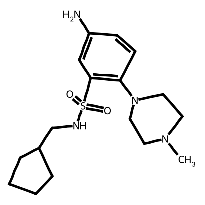 CN1CCN(c2ccc(N)cc2S(=O)(=O)NCC2CCCC2)CC1